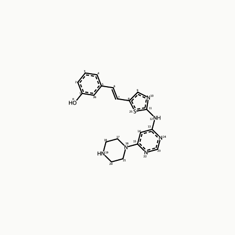 Oc1cccc(C=Cc2cnc(Nc3cc(N4CCNCC4)ncn3)s2)c1